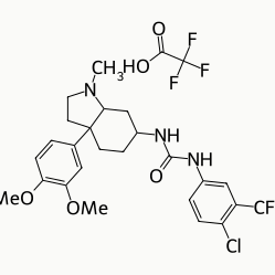 COc1ccc(C23CCC(NC(=O)Nc4ccc(Cl)c(C(F)(F)F)c4)CC2N(C)CC3)cc1OC.O=C(O)C(F)(F)F